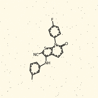 Cc1cccc(Nc2c(C#N)sc3c2ccc(=O)n3-c2ccc(F)cc2)c1